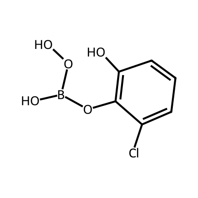 OOB(O)Oc1c(O)cccc1Cl